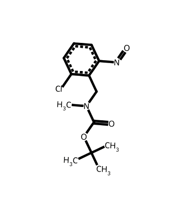 CN(Cc1c(Cl)cccc1N=O)C(=O)OC(C)(C)C